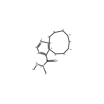 CON(C)C(=O)c1ncnc2c1CCCCCCCC2